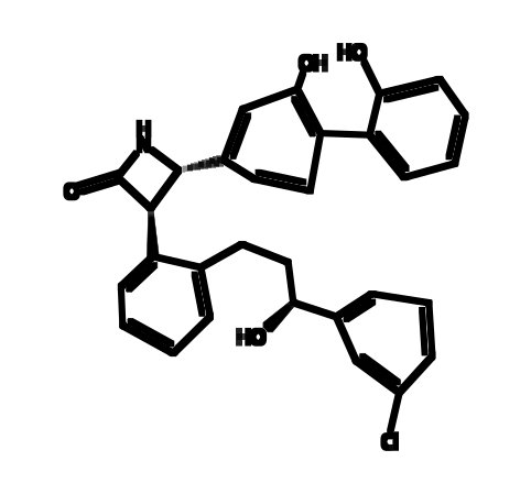 O=C1N[C@H](c2ccc(-c3ccccc3O)c(O)c2)[C@H]1c1ccccc1CC[C@H](O)c1cccc(Cl)c1